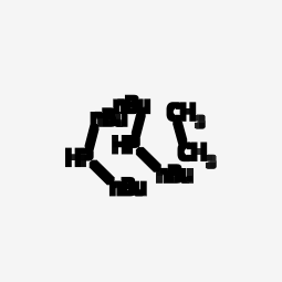 CC.CCCCPCCCC.CCCCPCCCC